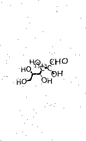 O=[13CH][13C@H](O)[13C@@H](O)[C@H](O)[C@H](O)CO